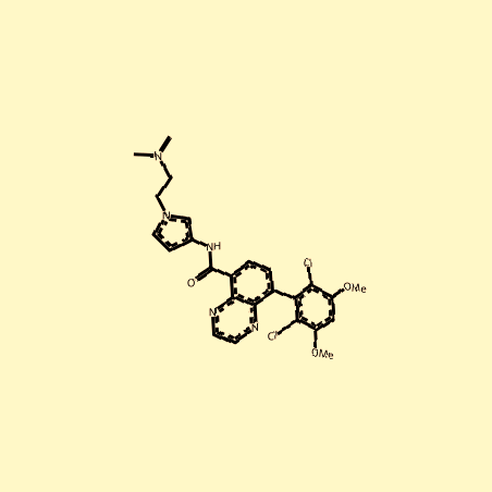 COc1cc(OC)c(Cl)c(-c2ccc(C(=O)Nc3ccn(CCN(C)C)c3)c3nccnc23)c1Cl